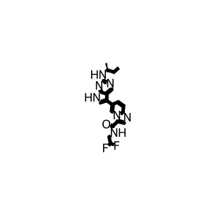 CC[C@H](C)Nc1ncc2c(-c3ccc4ncc(C(=O)NCC(F)F)n4c3)c[nH]c2n1